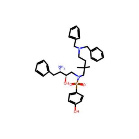 CC(C)(CCN(Cc1ccccc1)Cc1ccccc1)CN(C[C@@H](O)[C@@H](N)Cc1ccccc1)S(=O)(=O)c1ccc(O)cc1